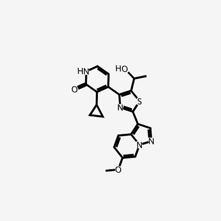 COc1ccc2c(-c3nc(-c4cc[nH]c(=O)c4C4CC4)c(C(C)O)s3)cnn2c1